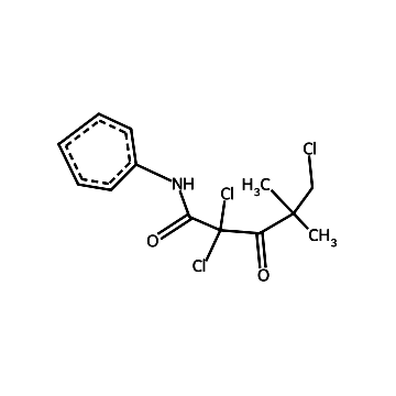 CC(C)(CCl)C(=O)C(Cl)(Cl)C(=O)Nc1ccccc1